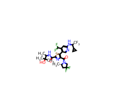 CC(NC(=O)c1nc(C(=O)N2CC(F)(F)C[C@@H]2C)c(-c2cnc(NC(C3CC3)C(F)(F)F)cc2C(F)F)s1)C(C)(C)O